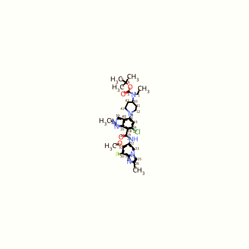 CCN(C(=O)OC(C)(C)C)C1CCN(c2cc(Cl)c(C(=O)Nc3cn4cc(C)nc4c(F)c3OC)c3nn(C)cc23)CC1